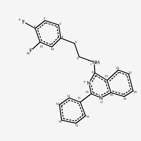 Fc1ccc(CCNc2nc(-c3ccccc3)nc3ccccc23)cc1F